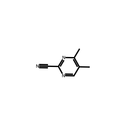 Cc1cnc(C#N)nc1C